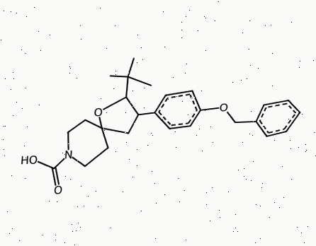 CC(C)(C)C1OC2(CCN(C(=O)O)CC2)CC1c1ccc(OCc2ccccc2)cc1